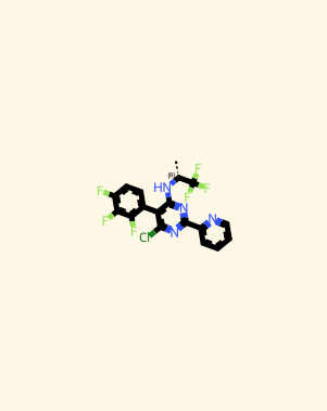 C[C@@H](Nc1nc(-c2ccccn2)nc(Cl)c1-c1ccc(F)c(F)c1F)C(F)(F)F